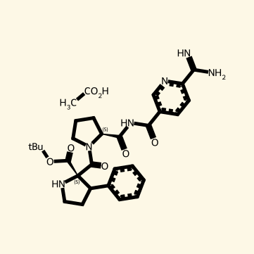 CC(=O)O.CC(C)(C)OC(=O)[C@]1(C(=O)N2CCC[C@H]2C(=O)NC(=O)c2ccc(C(=N)N)nc2)NCCC1c1ccccc1